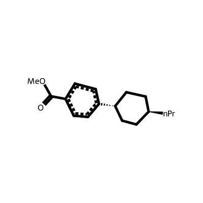 CCC[C@H]1CC[C@H](c2ccc(C(=O)OC)cc2)CC1